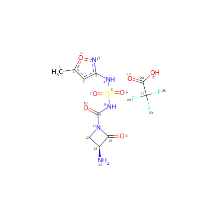 Cc1cc(NS(=O)(=O)NC(=O)N2C[C@H](N)C2=O)no1.O=C(O)C(F)(F)F